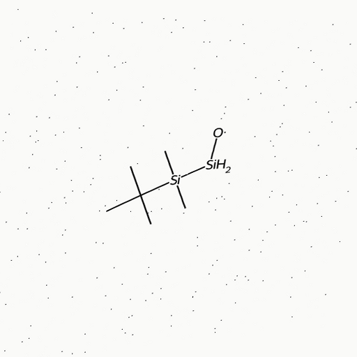 CC(C)(C)[Si](C)(C)[SiH2][O]